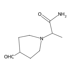 CC(C(N)=O)N1CCC(C=O)CC1